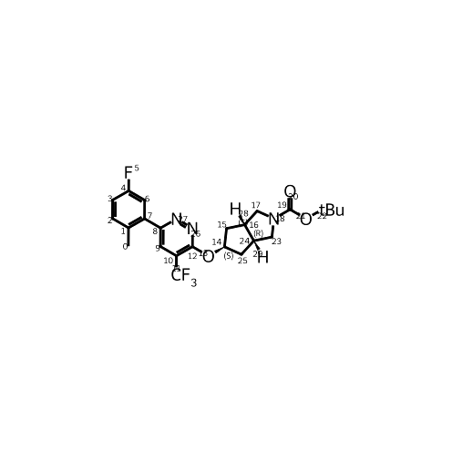 Cc1ccc(F)cc1-c1cc(C(F)(F)F)c(O[C@H]2C[C@@H]3CN(C(=O)OC(C)(C)C)C[C@@H]3C2)nn1